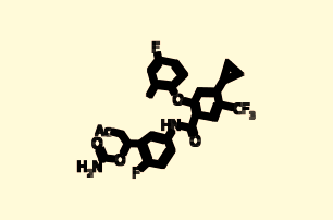 CC(=O)CC(OC(N)=O)c1cc(NC(=O)c2cc(C(F)(F)F)c(C3CC3)cc2Oc2ccc(F)cc2C)ccc1F